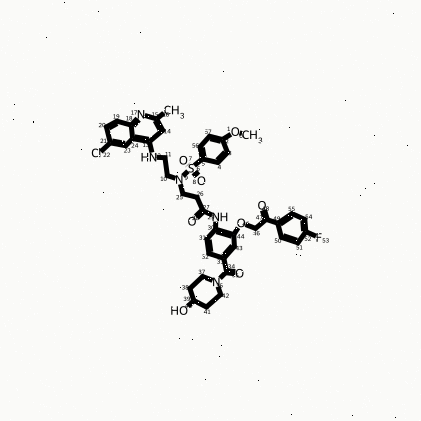 COc1ccc(S(=O)(=O)N(CCNc2cc(C)nc3ccc(Cl)cc23)CCC(=O)Nc2ccc(C(=O)N3CCC(O)CC3)cc2OCC(=O)c2ccc(F)cc2)cc1